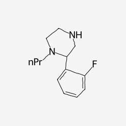 CCCN1CCNCC1c1ccccc1F